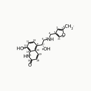 [CH2]c1cc(CNC[C@H](O)c2ccc(O)c3[nH]c(=O)ccc23)co1